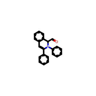 O=CC1c2ccccc2C=C(c2ccccc2)N1c1ccccc1